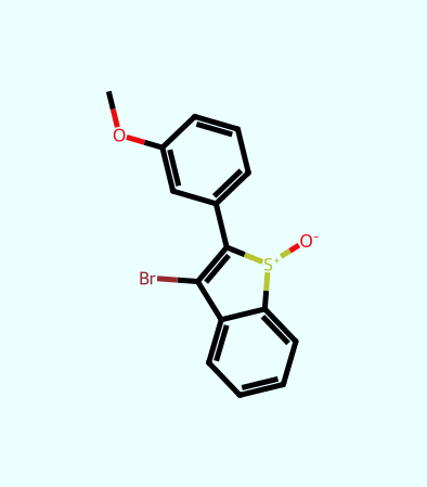 COc1cccc(-c2c(Br)c3ccccc3[s+]2[O-])c1